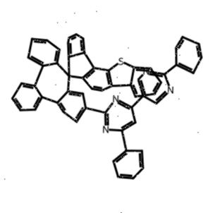 c1ccc(-c2cc(-c3cnc(-c4ccccc4)nc3)nc(-c3ccc4c(c3)C3(c5ccccc5-c5ccccc5-4)c4ccccc4-c4c3ccc3c4sc4ccccc43)n2)cc1